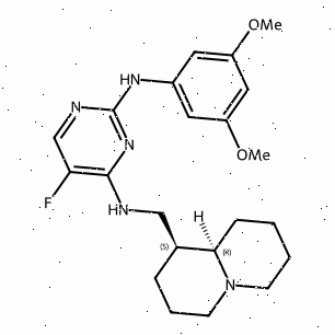 COc1cc(Nc2ncc(F)c(NC[C@@H]3CCCN4CCCC[C@H]34)n2)cc(OC)c1